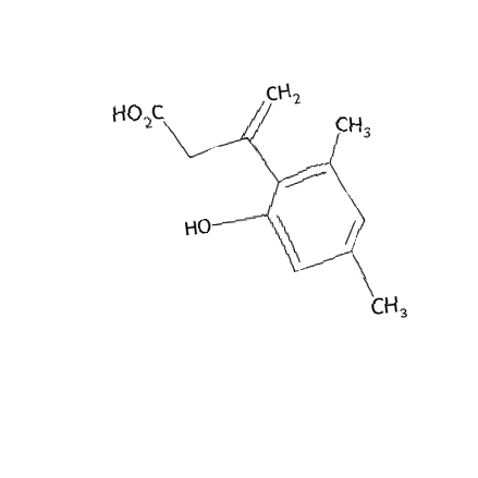 C=C(CC(=O)O)c1c(C)cc(C)cc1O